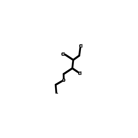 [CH2]COCC(Cl)C(Cl)CCl